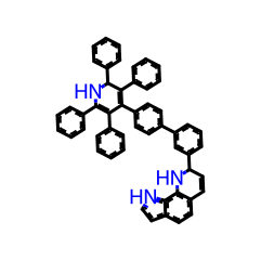 C1=CC(c2cccc(-c3ccc(C4=C(c5ccccc5)C(c5ccccc5)NC(c5ccccc5)=C4c4ccccc4)cc3)c2)Nc2c1ccc1cc[nH]c21